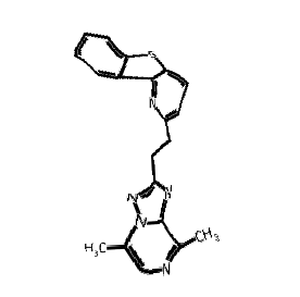 Cc1ncc(C)n2nc(CCc3ccc4sc5ccccc5c4n3)nc12